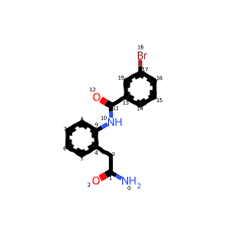 NC(=O)Cc1ccccc1NC(=O)c1cccc(Br)c1